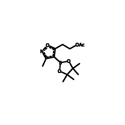 CC(=O)OCCc1onc(C)c1B1OC(C)(C)C(C)(C)O1